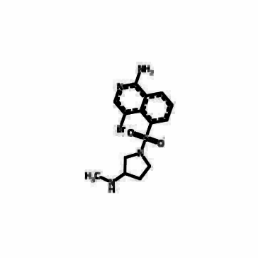 CNC1CCN(S(=O)(=O)c2cccc3c(N)ncc(Br)c23)C1